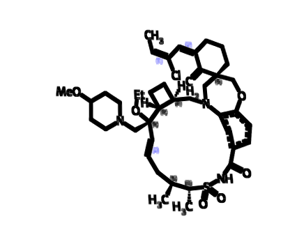 C=C1/C(=C\C(Cl)=C/C)CCC[C@]12COc1ccc3cc1N(C[C@@H]1CC[C@H]1[C@@](CN1CCC(OC)CC1)(OCC)/C=C/C[C@H](C)[C@@H](C)S(=O)(=O)NC3=O)C2